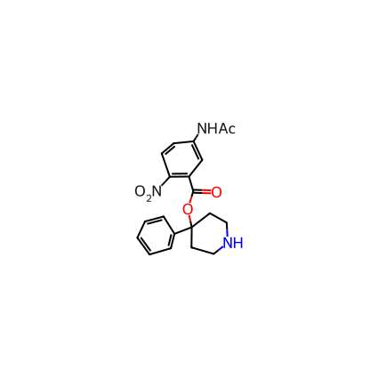 CC(=O)Nc1ccc([N+](=O)[O-])c(C(=O)OC2(c3ccccc3)CCNCC2)c1